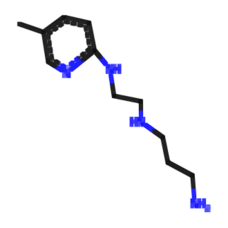 Cc1ccc(NCCNCCCN)nc1